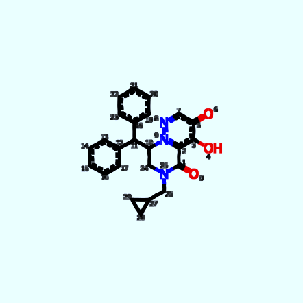 O=C1c2c(O)c(=O)cnn2C(C(c2ccccc2)c2ccccc2)CN1CC1CC1